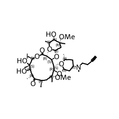 C#CCCN(C)[C@@H]1C[C@H](O[C@@H]2[C@@H](C)[C@H](O[C@H]3C[C@@](C)(OC)[C@@H](O)[C@H](C)O3)[C@@H](C)C(=O)O[C@H](I)[C@@](C)(O)[C@H](O)[C@@H](C)C(=O)[C@H](C)C[C@@]2(C)OC)O[C@H](C)C1